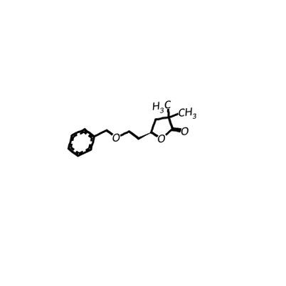 CC1(C)C[C@H](CCOCc2ccccc2)OC1=O